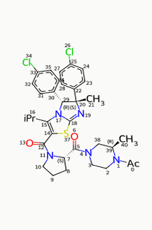 CC(=O)N1CCN(C(=O)[C@@H]2CCCN2C(=O)C2=C(C(C)C)N3C(=N[C@@](C)(c4ccc(Cl)cc4)[C@H]3c3ccc(Cl)cc3)S2)C[C@H]1C